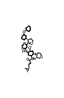 COc1cc(N2CCOCC2)c(NC(=O)/C=C/CN(C)C)cc1Nc1cc(N2OCC[C@@H]2c2cccc(Oc3ccccc3)c2)ncn1